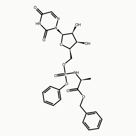 C[C@H](NP(=O)(OC[C@H]1O[C@@H](n2ncc(=O)[nH]c2=O)[C@@H](O)[C@H]1O)Oc1ccccc1)C(=O)OCc1ccccc1